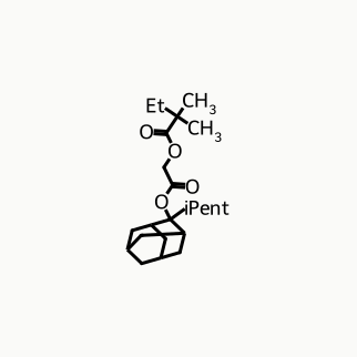 CCCC(C)C1(OC(=O)COC(=O)C(C)(C)CC)C2CC3CC(C2)CC1C3